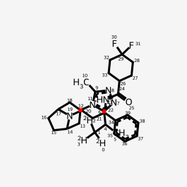 [2H]C([2H])([2H])C(C)c1nnc(C)n1C1CC2CCC(C1)N2CCC(NC(=O)C1CCC(F)(F)CC1)c1ccccc1